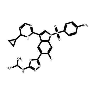 Cc1ccc(S(=O)(=O)n2cc(C3=NC=CC(C4CC4)N3)c3cc(-c4nnc(NC(C)C)o4)c(F)cc32)cc1